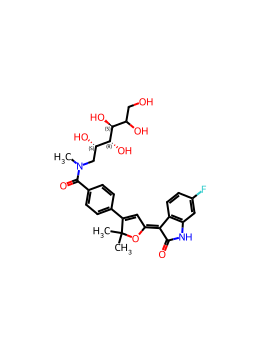 CN(C[C@H](O)[C@@H](O)[C@@H](O)C(O)CO)C(=O)c1ccc(C2=CC(=C3C(=O)Nc4cc(F)ccc43)OC2(C)C)cc1